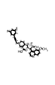 COc1ccc2nccc([C@@H](CC[C@@H]3CCN(CC#Cc4cc(F)cc(F)c4)C[C@@H]3C(=O)O)N(C)C)c2c1